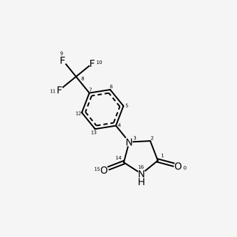 O=C1CN(c2ccc(C(F)(F)F)cc2)C(=O)N1